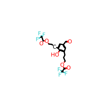 O=Cc1cc(CCCOC(=O)C(F)(F)F)c(O)c(CCCOC(=O)C(F)(F)F)c1